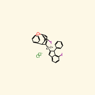 Ic1cccc2c1C(c1ccccc1)[C]([Zr+2][C]1=Cc3c4ccc(I)c3C1c1ccc(cc1)O4)=C2.[Cl-].[Cl-]